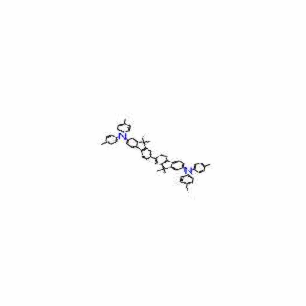 Cc1ccc(N(c2ccc(C)cc2)c2ccc3c(c2)C(C)(C)c2cc(-c4ccc5c(c4)C(C)(C)c4cc(N(c6ccc(C)cc6)c6ccc(C)cc6)ccc4-5)ccc2-3)cc1